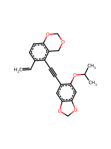 C=Cc1ccc2c(c1C#Cc1cc3c(cc1OC(C)C)OCO3)COCO2